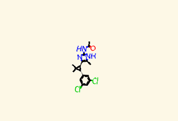 CC(=O)Nc1nc([C@H]2[C@H](c3cc(Cl)cc(Cl)c3)C2(C)C)c(C)[nH]1